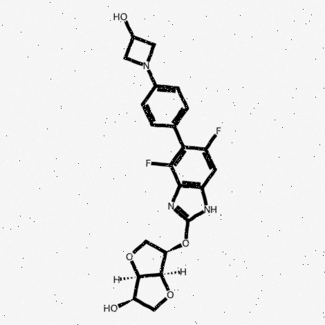 OC1CN(c2ccc(-c3c(F)cc4[nH]c(O[C@@H]5CO[C@H]6[C@@H]5OC[C@H]6O)nc4c3F)cc2)C1